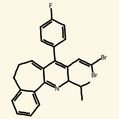 CC(C)C1N=C2C(=CCCc3ccccc32)C(c2ccc(F)cc2)=C1C=C(Br)Br